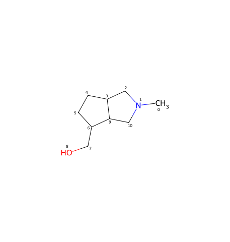 CN1CC2CCC(CO)C2C1